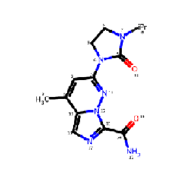 Cc1cc(N2CCN(C(C)C)C2=O)nn2c(C(N)=O)ncc12